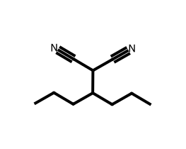 CCCC(CCC)C(C#N)C#N